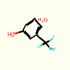 O.Oc1cccc(C(F)(F)F)c1